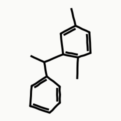 Cc1ccc(C)c(C(C)c2ccccc2)c1